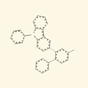 Nc1ccc(-c2ccccc2)c(-c2ccc3c(c2)c2ccccc2n3-c2ccccc2)c1